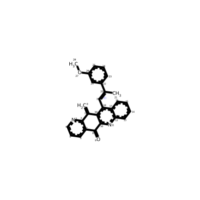 C=C1c2ncccc2C(=O)c2nc3ccccc3c(/C=C(\C)c3cccc(OC)c3)c21